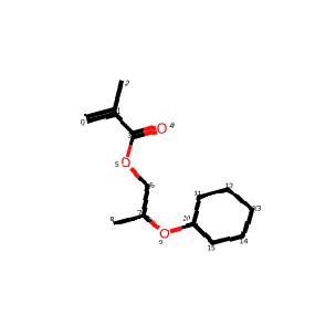 C=C(C)C(=O)OCC(C)OC1CCCCC1